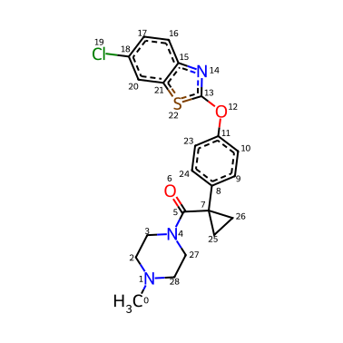 CN1CCN(C(=O)C2(c3ccc(Oc4nc5ccc(Cl)cc5s4)cc3)CC2)CC1